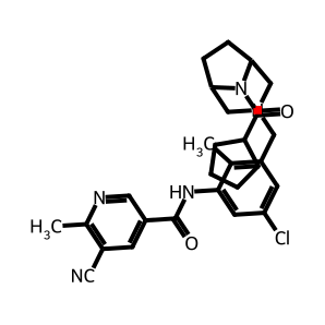 Cc1ncc(C(=O)Nc2cc(Cl)cc(CN3CC4CCC(C3)N4C(=O)C3CCCC3)c2C)cc1C#N